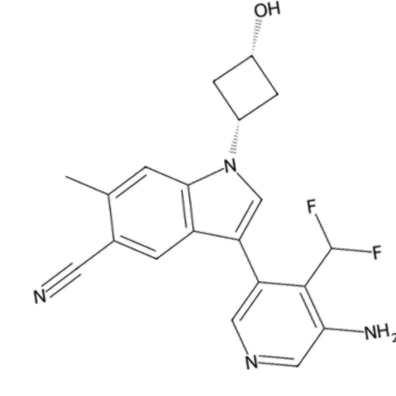 Cc1cc2c(cc1C#N)c(-c1cncc(N)c1C(F)F)cn2[C@H]1C[C@@H](O)C1